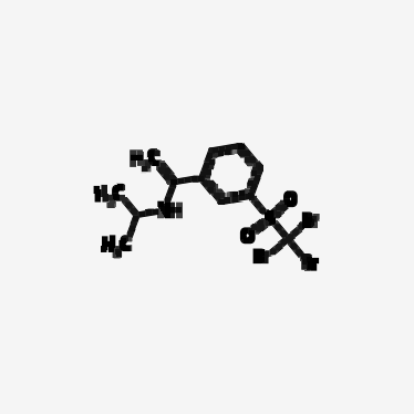 C=C(NC(C)C)c1cccc(S(=O)(=O)C(Br)(Br)Br)c1